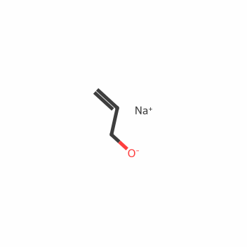 C=CC[O-].[Na+]